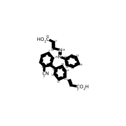 C=CC(=O)O.N#Cc1ccccc1-c1ccccc1.O=C(O)C=CN=Nc1ccccc1